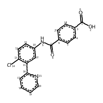 O=C(O)c1ccc(C(=O)Nc2ccc(Cl)c(-c3ccccn3)c2)cc1